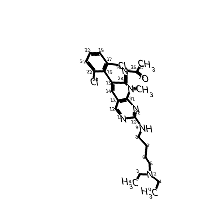 CCN(CC)CCCCNc1ncc2cc(-c3c(Cl)cccc3Cl)c(=NC(C)=O)n(C)c2n1